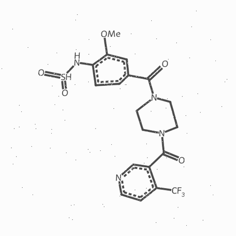 COc1cc(C(=O)N2CCN(C(=O)c3cnccc3C(F)(F)F)CC2)ccc1N[SH](=O)=O